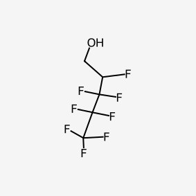 OCC(F)C(F)(F)C(F)(F)C(F)(F)F